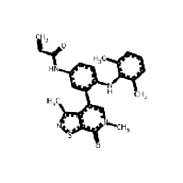 C=CC(=O)Nc1ccc(Nc2c(C)cccc2C)c(-c2cn(C)c(=O)c3snc(C)c23)c1